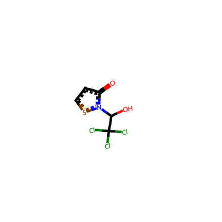 O=c1ccsn1C(O)C(Cl)(Cl)Cl